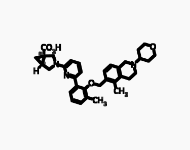 Cc1cccc(-c2cccc(N3C[C@@H]4C[C@]4(C(=O)O)C3)n2)c1OCc1ccc2c(c1C)CCN(C1CCOCC1)C2